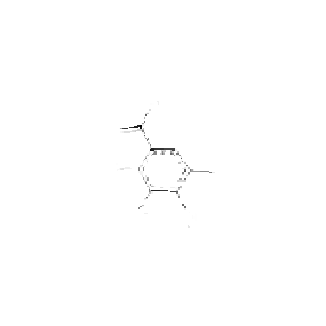 CCC(=O)c1cc(F)c(O)c(Cl)c1O